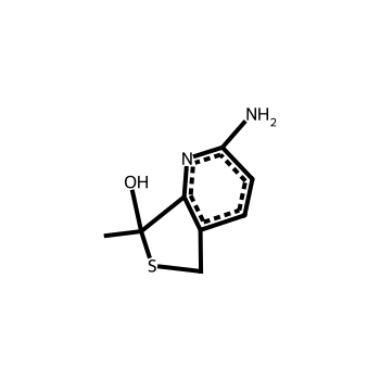 CC1(O)SCc2ccc(N)nc21